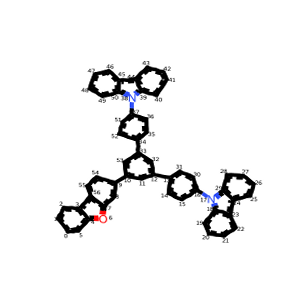 c1ccc2c(c1)oc1cc(-c3cc(-c4ccc(-n5c6ccccc6c6ccccc65)cc4)cc(-c4ccc(-n5c6ccccc6c6ccccc65)cc4)c3)ccc12